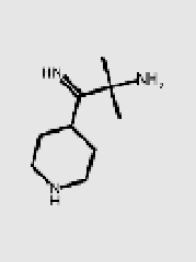 CC(C)(N)C(=N)C1CCNCC1